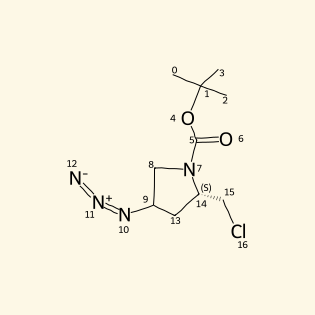 CC(C)(C)OC(=O)N1CC(N=[N+]=[N-])C[C@H]1CCl